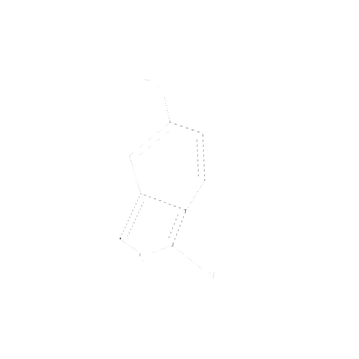 FC(F)(F)c1ccc2c(Br)occ2c1